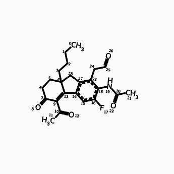 CCCCC12CCC(=O)C(C(C)=O)=C1c1cc(F)c(NC(C)=O)c(CC=O)c1C2